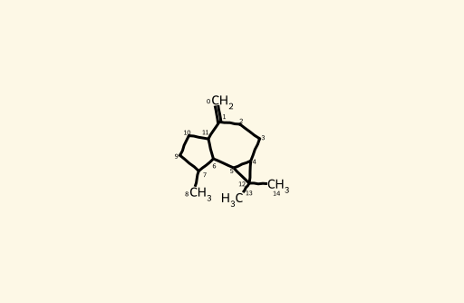 C=C1CCC2C(C3C(C)CCC13)C2(C)C